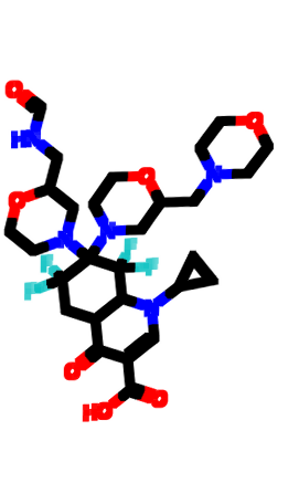 O=CNCC1CN(C2(N3CCOC(CN4CCOCC4)C3)C(F)(F)CC3C(=O)C(C(=O)O)=CN(C4CC4)C3C2(F)F)CCO1